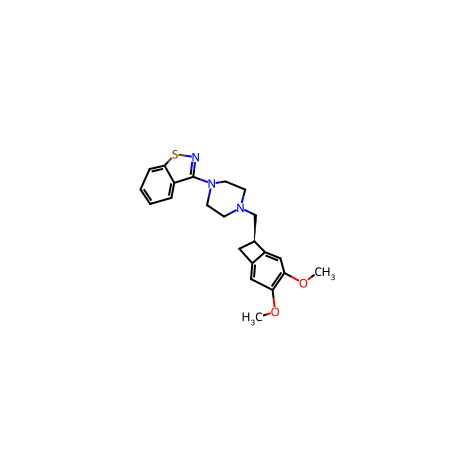 COc1cc2c(cc1OC)[C@H](CN1CCN(c3nsc4ccccc34)CC1)C2